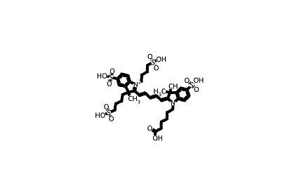 CC1(CCCCS(=O)(=O)O)C(/C=C/C=C/C=C2/N(CCCCCC(=O)O)c3ccc(S(=O)(=O)O)cc3C2(C)C)=[N+](CCCCS(=O)(=O)O)c2ccc(S(=O)(=O)O)cc21